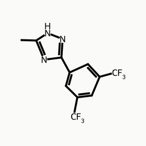 Cc1nc(-c2cc(C(F)(F)F)cc(C(F)(F)F)c2)n[nH]1